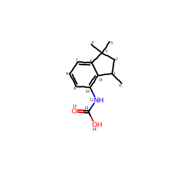 CC1CC(C)(C)c2cccc(NC(=O)O)c21